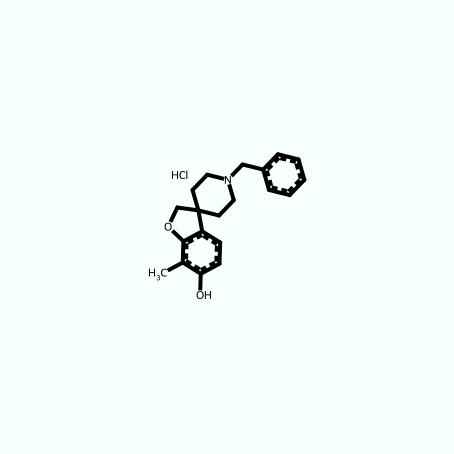 Cc1c(O)ccc2c1OCC21CCN(Cc2ccccc2)CC1.Cl